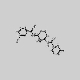 Cc1nccc(C(=O)NC23CCCC(NC(=O)c4cccc(F)c4)(CC2)C3)n1